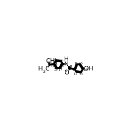 CC(C)c1ccc(NC(=O)c2ccc(O)cc2)cc1